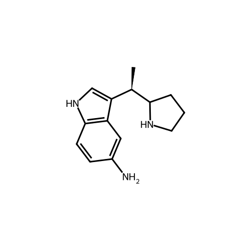 C[C@H](c1c[nH]c2ccc(N)cc12)C1CCCN1